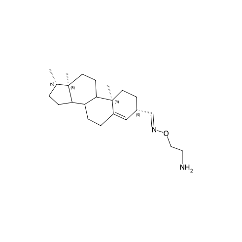 C[C@H]1CCC2C3CCC4=C[C@@H](C=NOCCN)CC[C@]4(C)C3CC[C@@]21C